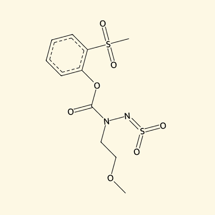 COCCN(N=S(=O)=O)C(=O)Oc1ccccc1S(C)(=O)=O